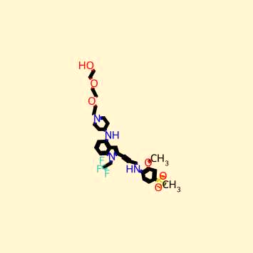 COc1cc(S(C)(=O)=O)ccc1NCC#Cc1cc2c(NC3CCN(CCOCCOCCO)CC3)cccc2n1CC(F)(F)F